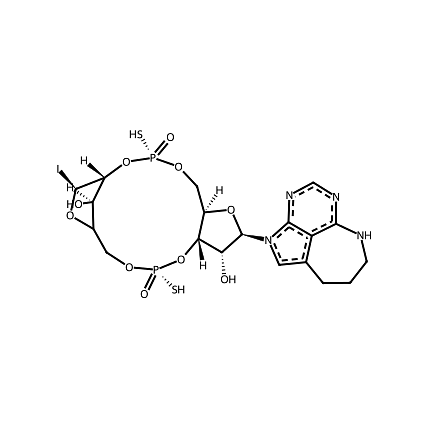 O=[P@@]1(S)OC[C@H]2O[C@@H](n3cc4c5c(ncnc53)NCCC4)[C@H](O)[C@@H]2O[P@](=O)(S)OCC2O[C@@H](I)[C@H](O1)[C@@H]2O